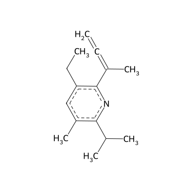 C=C=C(C)c1nc(C(C)C)c(C)cc1CC